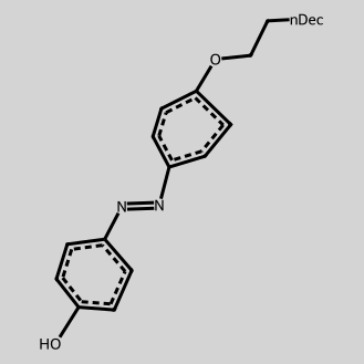 CCCCCCCCCCCCOc1ccc(/N=N/c2ccc(O)cc2)cc1